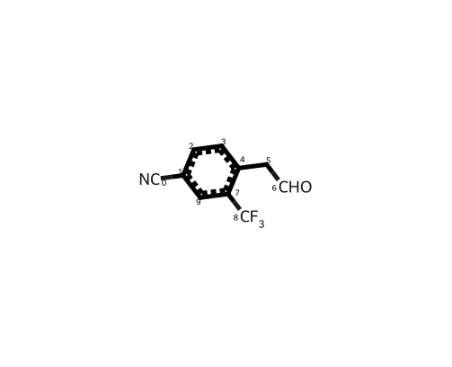 N#Cc1ccc(CC=O)c(C(F)(F)F)c1